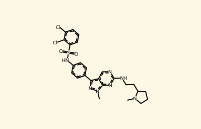 CN1CCCC1CCNc1ncc2c(-c3ccc(NS(=O)(=O)c4cccc(Cl)c4Cl)cc3)nn(C)c2n1